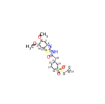 COc1cc2nc(NC(=O)Cc3cccc(S(=O)(=O)CC4CC4)c3)sc2cc1OC